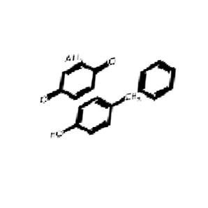 Cc1ccc(O)cc1.O=C1C=CC(=O)C=C1.[AlH3].c1ccccc1